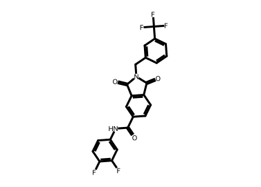 O=C(Nc1ccc(F)c(F)c1)c1ccc2c(c1)C(=O)N(Cc1cccc(C(F)(F)F)c1)C2=O